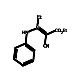 CCOC(=O)C(C#N)=[N+](CC)Nc1ccccc1